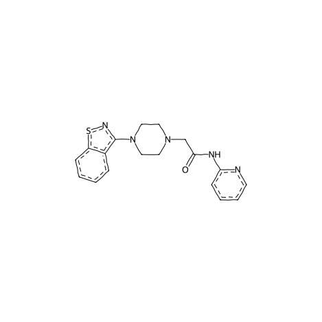 O=C(CN1CCN(c2nsc3ccccc23)CC1)Nc1ccccn1